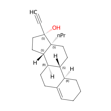 C#C[C@]1(O)CC[C@H]2[C@@H]3CCC4=CCCC[C@@H]4[C@H]3CC[C@@]21CCC